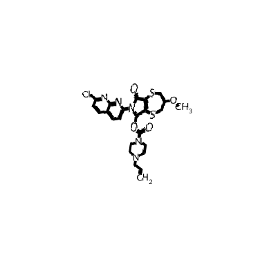 C=CCN1CCN(C(=O)OC2C3=C(SCC(OC)CS3)C(=O)N2c2ccc3ccc(Cl)nc3n2)CC1